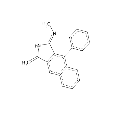 C=C1N/C(=N\C)c2c1cc1ccccc1c2-c1ccccc1